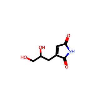 O=C1C=C(CC(O)CO)C(=O)N1